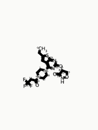 CCc1cc2c(N3CCN(C(=O)CC(F)(F)F)CC3)nc(O[C@@H]3CONC3=O)nc2s1